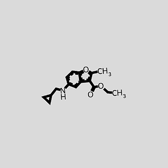 CCOC(=O)c1c(C)oc2ccc(NCC3CC3)cc12